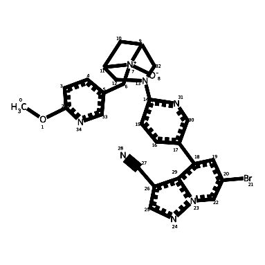 COc1ccc(C[N+]2([O-])C3CC2CN(c2ccc(-c4cc(Br)cn5ncc(C#N)c45)cn2)C3)cn1